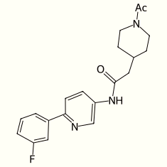 CC(=O)N1CCC(CC(=O)Nc2ccc(-c3cccc(F)c3)nc2)CC1